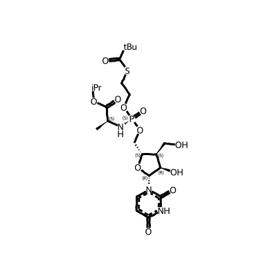 CC(C)OC(=O)[C@H](C)N[P@@](=O)(OCCSC(=O)C(C)(C)C)OC[C@H]1O[C@@H](n2ccc(=O)[nH]c2=O)[C@H](O)[C@@H]1CO